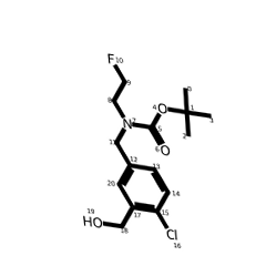 CC(C)(C)OC(=O)N(CCF)Cc1ccc(Cl)c(CO)c1